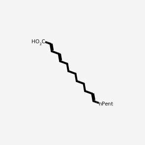 CCCCCC=CCCCCCCC=CC=CC(=O)O